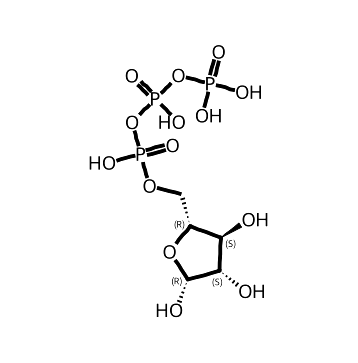 O=P(O)(O)OP(=O)(O)OP(=O)(O)OC[C@H]1O[C@@H](O)[C@@H](O)[C@@H]1O